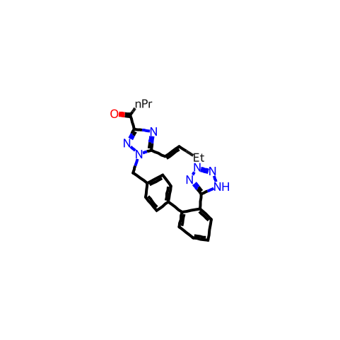 CC/C=C/c1nc(C(=O)CCC)nn1Cc1ccc(-c2ccccc2-c2nnn[nH]2)cc1